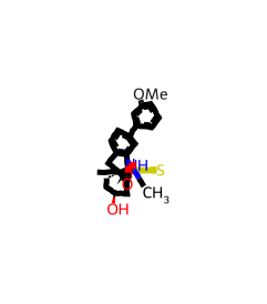 COc1cccc(-c2ccc3c(c2)C2(NC(=S)N(C)C2=O)[C@]2(CC[C@H](O)CC2)C3)c1